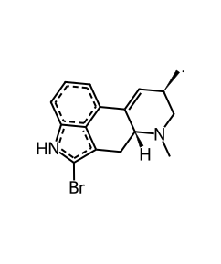 [CH2][C@@H]1C=C2c3cccc4[nH]c(Br)c(c34)C[C@H]2N(C)C1